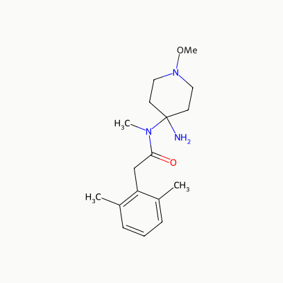 CON1CCC(N)(N(C)C(=O)Cc2c(C)cccc2C)CC1